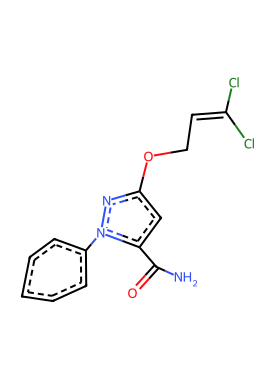 NC(=O)c1cc(OCC=C(Cl)Cl)nn1-c1ccccc1